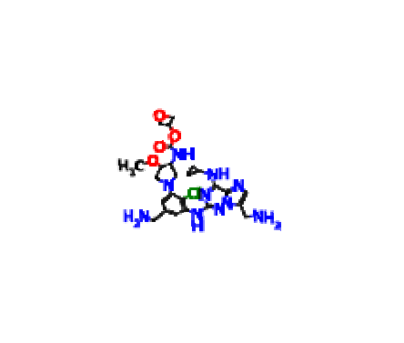 CO[C@@H]1CN(c2cc(CN)cc(Nc3nc(NC4CC4)c4ncc(CN)n4n3)c2Cl)C[C@@H]1NC(=O)OC1COC1